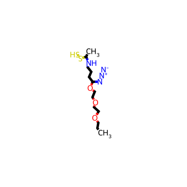 CCCOCCOCCOC(CCCNC(C)SS)N=[N+]=[N-]